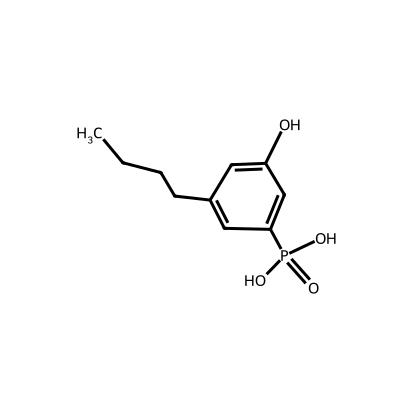 CCCCc1cc(O)cc(P(=O)(O)O)c1